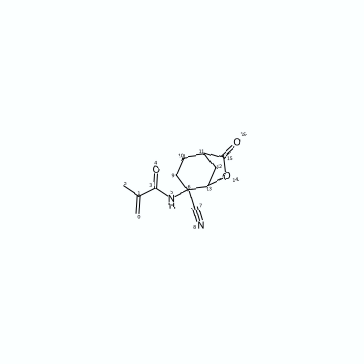 C=C(C)C(=O)NC1(C#N)CCC2CC1OC2=O